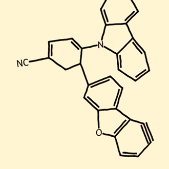 N#CC1=CC=C(n2c3ccccc3c3ccccc32)C(c2ccc3c(c2)oc2ccc#cc23)C1